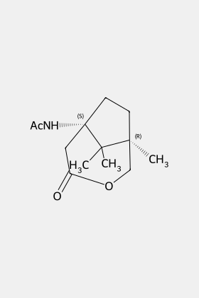 CC(=O)N[C@@]12CC[C@@](C)(COC(=O)C1)C2(C)C